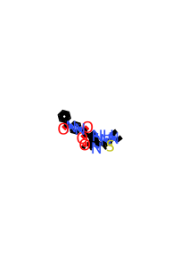 CCN(CC)c1nc(-c2ncc(OC)c3c(C(=O)C(=O)N4CCN(C(=O)c5ccccc5)CC4)c[nH]c23)cs1